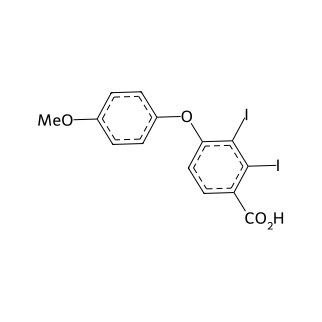 COc1ccc(Oc2ccc(C(=O)O)c(I)c2I)cc1